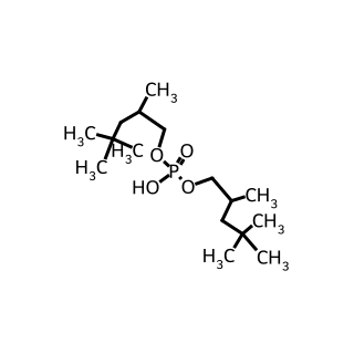 CC(COP(=O)(O)OCC(C)CC(C)(C)C)CC(C)(C)C